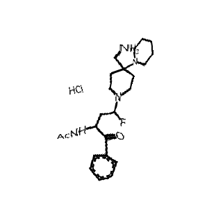 CC(=O)NC(CC(F)N1CCC(CN)(N2CCCCC2)CC1)C(=O)c1ccccc1.Cl